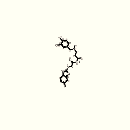 Cc1ccc2nc(SCC(=O)NC(C)CCN(C)Cc3ccc(Cl)c(Cl)c3)oc2c1